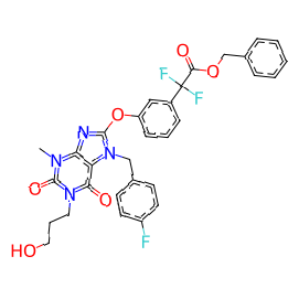 Cn1c(=O)n(CCCO)c(=O)c2c1nc(Oc1cccc(C(F)(F)C(=O)OCc3ccccc3)c1)n2Cc1ccc(F)cc1